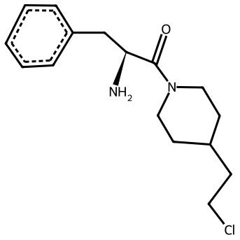 N[C@@H](Cc1ccccc1)C(=O)N1CCC(CCCl)CC1